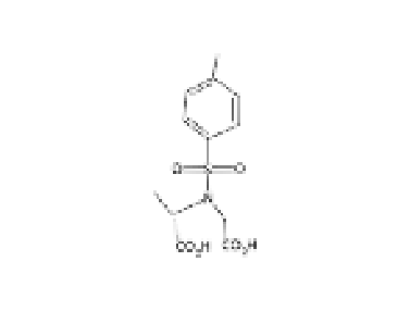 Cc1ccc(S(=O)(=O)N(CC(=O)O)[C@@H](C)C(=O)O)cc1